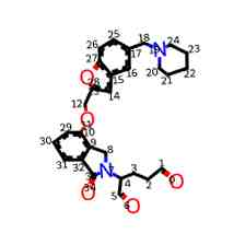 O=CCCC(C=O)N1Cc2c(OCc3cc4cc(CN5CCCCC5)ccc4o3)cccc2C1=O